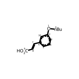 CCCCOc1cccc(/C=C/C(=O)O)c1